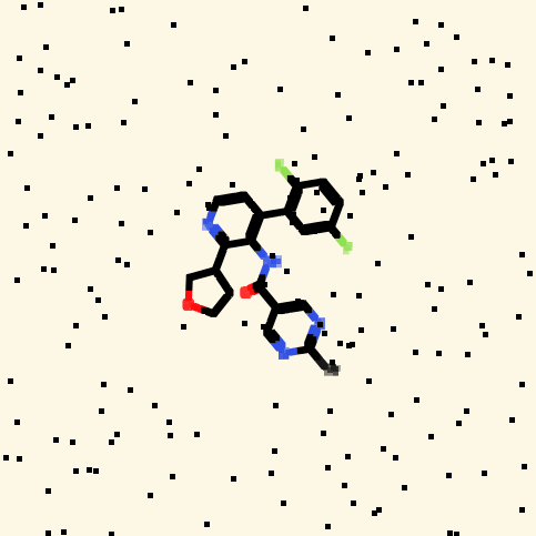 CC(C)c1ncc(C(=O)Nc2c(-c3cc(F)ccc3F)ccnc2C2CCOC2)cn1